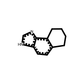 c1nc2c3c(ccc2[nH]1)CCCC3